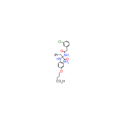 CC(C)CC(NC(=O)Cc1cccc(Cl)c1)(Nc1ccc(OCCCC(=O)O)cc1)C(N)=O